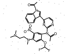 CC(=O)N(c1nccc(-c2cn(C(C)=O)c3ccccc23)n1)c1cc([N+](=O)[O-])c(N(C)CCN(C)C)cc1OC(F)F